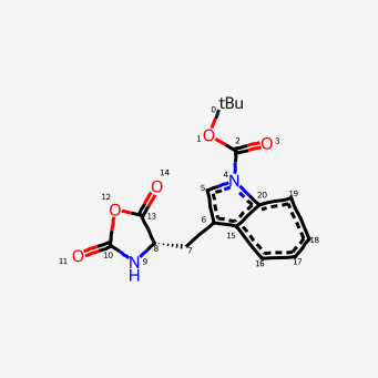 CC(C)(C)OC(=O)n1cc(C[C@@H]2NC(=O)OC2=O)c2ccccc21